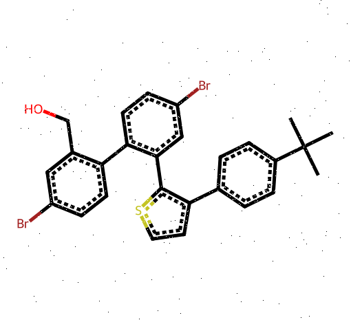 CC(C)(C)c1ccc(-c2ccsc2-c2cc(Br)ccc2-c2ccc(Br)cc2CO)cc1